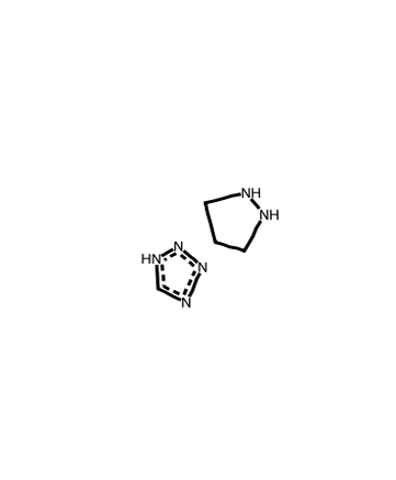 C1CNNC1.c1nnn[nH]1